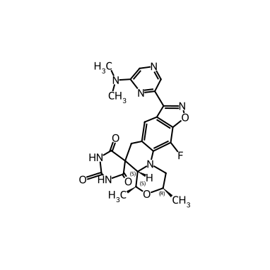 C[C@@H]1CN2c3c(cc4c(-c5cncc(N(C)C)n5)noc4c3F)CC3(C(=O)NC(=O)NC3=O)[C@H]2[C@H](C)O1